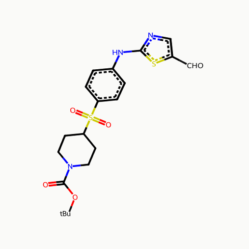 CC(C)(C)OC(=O)N1CCC(S(=O)(=O)c2ccc(Nc3ncc(C=O)s3)cc2)CC1